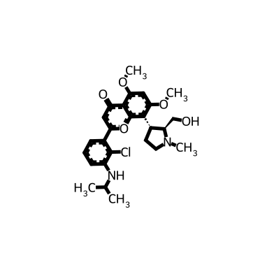 COc1cc(OC)c2c(=O)cc(-c3cccc(NC(C)C)c3Cl)oc2c1[C@H]1CCN(C)[C@@H]1CO